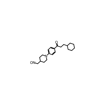 O=NCC1CCN(c2ccc(C(=O)CCC3CCCCC3)cc2)CC1